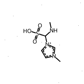 CNC([n+]1ccn(C)c1)S(=O)(=O)O